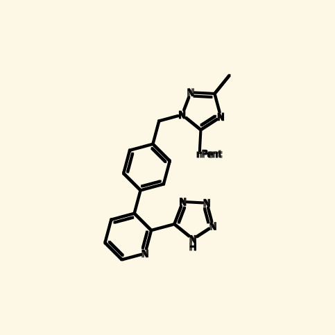 CCCCCc1nc(C)nn1Cc1ccc(-c2cccnc2-c2nnn[nH]2)cc1